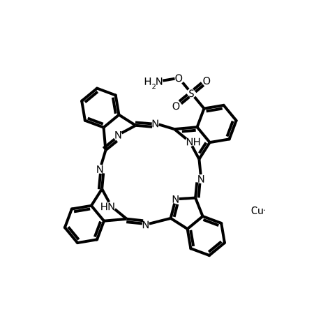 NOS(=O)(=O)c1cccc2c3nc4nc(nc5[nH]c(nc6nc(nc([nH]3)c12)-c1ccccc1-6)c1ccccc51)-c1ccccc1-4.[Cu]